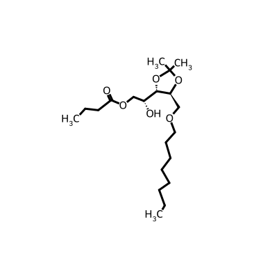 CCCCCCCCOC[C@@H]1OC(C)(C)O[C@H]1[C@H](O)COC(=O)CCC